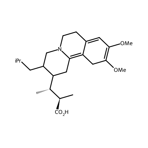 COC1=C(OC)CC2=C3CC([C@@H](C)[C@@H](C)C(=O)O)C(CC(C)C)CN3CCC2=C1